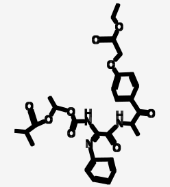 CCOC(=O)COc1ccc(C(=O)C(C)NC(=O)/C(=N\c2ccccc2)NC(=O)OC(C)OC(=O)C(C)C)cc1